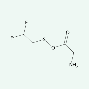 NCC(=O)OSCC(F)F